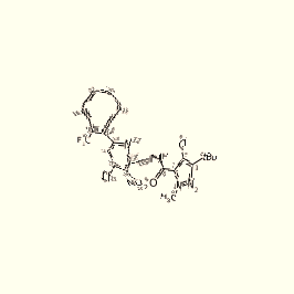 Cn1nc(C(C)(C)C)c(Cl)c1C(=O)Nc1nc(-c2ccccc2C(F)(F)F)cc(Cl)c1[N+](=O)[O-]